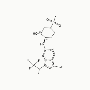 CC(c1cc(F)c2cnc(N[C@@H]3CCN(S(C)(=O)=O)C[C@H]3O)nn12)C(F)(F)F